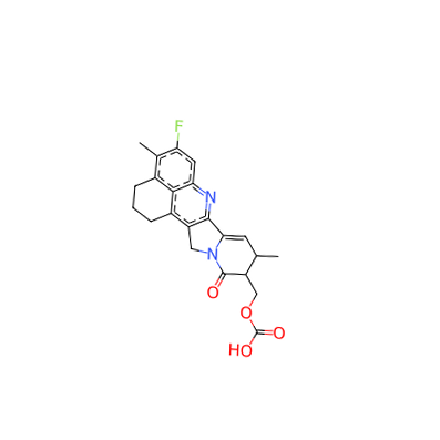 Cc1c(F)cc2nc3c(c4c2c1CCC4)CN1C(=O)C(COC(=O)O)C(C)C=C31